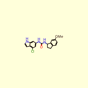 COc1ccc2c(c1)C(NC(=O)Nc1cc(Cl)c3cc[nH]c3c1)CC2